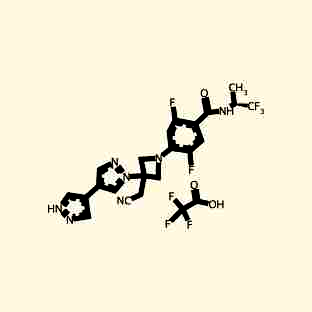 C[C@H](NC(=O)c1cc(F)c(N2CC(CC#N)(n3cc(-c4cn[nH]c4)cn3)C2)cc1F)C(F)(F)F.O=C(O)C(F)(F)F